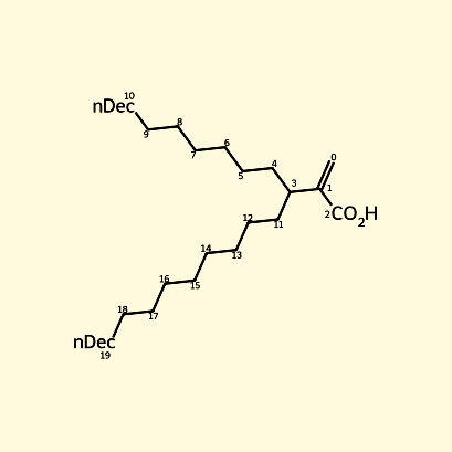 C=C(C(=O)O)C(CCCCCCCCCCCCCCCC)CCCCCCCCCCCCCCCCCC